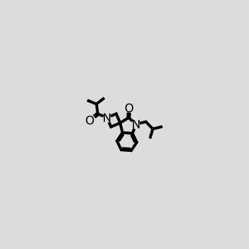 CC(C)CN1C(=O)C2(CN(C(=O)C(C)C)C2)c2ccccc21